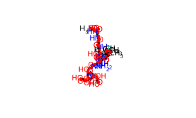 CCC(=O)NC(CCCNC(=O)CCC(=O)NCCCCC(NC(=O)C(CNC(=O)c1ccc(S(F)(C(C)(C)C)C(C)(C)C)cc1)N(N)/C=C(\N)CNC(=O)CCP(=O)(O)CN1CCN(CP(=O)(O)CCC(=O)O)CCN(CP(=O)(O)CCC(=O)O)CC1)C(=O)O)C(=O)O